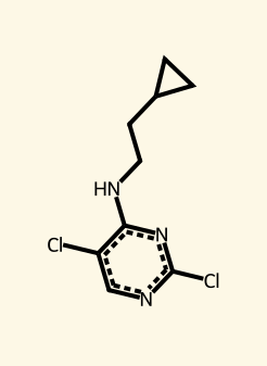 Clc1ncc(Cl)c(NCCC2CC2)n1